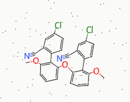 COc1cccc(Oc2cccc(OC)c2-c2ccc(Cl)cc2C#N)c1-c1ccc(Cl)cc1C#N